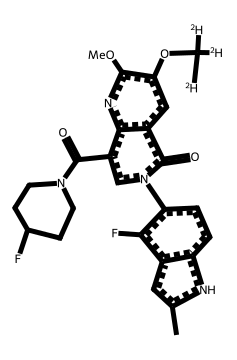 [2H]C([2H])([2H])Oc1cc2c(=O)n(-c3ccc4[nH]c(C)cc4c3F)cc(C(=O)N3CCC(F)CC3)c2nc1OC